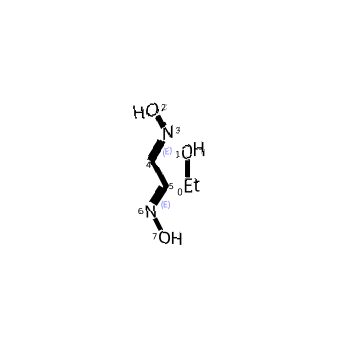 CCO.O/N=C/C=N/O